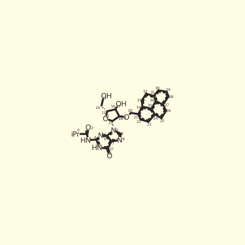 CC(C)C(=O)Nc1nc2c(ncn2[C@@H]2O[C@H](CO)C(O)C2OCc2ccc3ccc4cccc5ccc2c3c45)c(=O)[nH]1